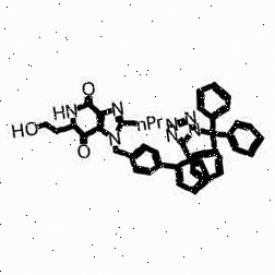 CCCc1nc2c(n1Cc1ccc(-c3ccccc3-c3nnnn3C(c3ccccc3)(c3ccccc3)c3ccccc3)cc1)C(=O)C(CCO)NC2=O